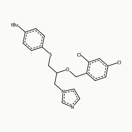 CC(C)(C)c1ccc(SCC(Cn2ccnc2)OCc2ccc(Cl)cc2Cl)cc1